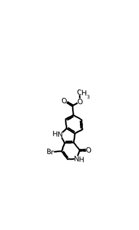 COC(=O)c1ccc2c(c1)[nH]c1c(Br)c[nH]c(=O)c12